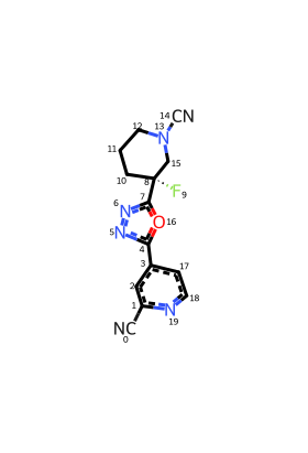 N#Cc1cc(-c2nnc([C@@]3(F)CCCN(C#N)C3)o2)ccn1